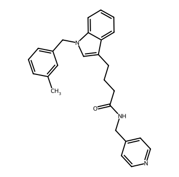 Cc1cccc(Cn2cc(CCCC(=O)NCc3ccncc3)c3ccccc32)c1